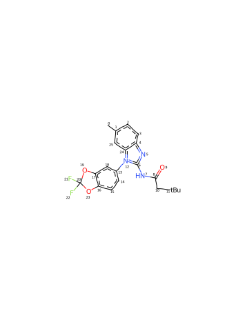 Cc1ccc2nc(NC(=O)CC(C)(C)C)n(-c3ccc4c(c3)OC(F)(F)O4)c2c1